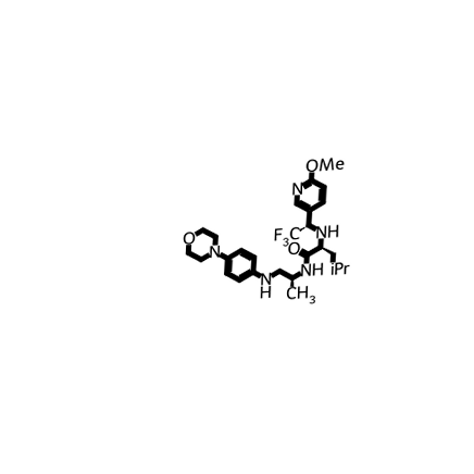 COc1ccc([C@H](N[C@@H](CC(C)C)C(=O)N[C@@H](C)CNc2ccc(N3CCOCC3)cc2)C(F)(F)F)cn1